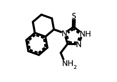 NCc1n[nH]c(=S)n1C1CCCc2ccccc21